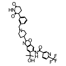 CC(C)(O)c1cc2nc(C3CCN(Cc4cccc(C5CCC(=O)NC5=O)c4)CC3)oc2cc1NC(=O)c1ccc(C(F)(F)F)nc1